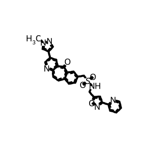 Cn1cc(-c2cnc3ccc4ccc(CS(=O)(=O)NCc5cc(-c6ccccn6)no5)cc4c(=O)c3c2)cn1